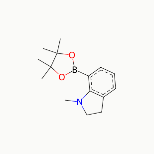 CN1CCc2cccc(B3OC(C)(C)C(C)(C)O3)c21